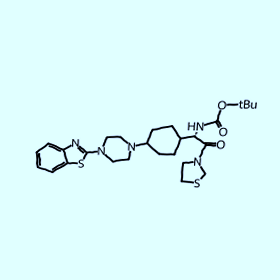 CC(C)(C)OC(=O)N[C@H](C(=O)N1CCSC1)C1CCC(N2CCN(c3nc4ccccc4s3)CC2)CC1